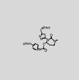 CCCCCCc1ccc(NC(=O)OC2CCN(C)C(=O)N2c2nnc(SCCCCC)s2)cc1